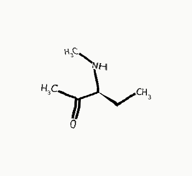 CC[C@H](NC)C(C)=O